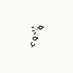 Cc1ccc(S(=O)(=O)N2C=CNC(=O)[C@H]2CC(=O)N[C@@H]2CC[C@@H](N3CCC(C)CC3)CC2(C)C)cc1